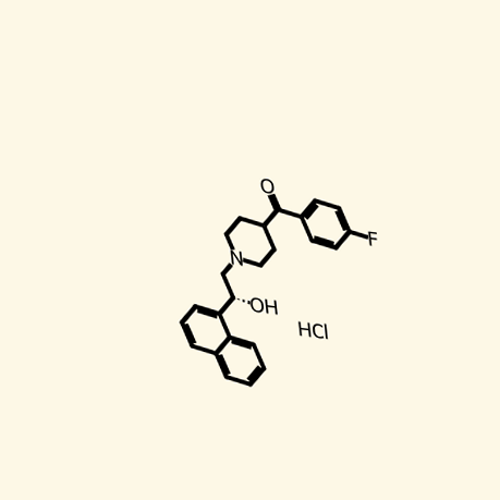 Cl.O=C(c1ccc(F)cc1)C1CCN(C[C@H](O)c2cccc3ccccc23)CC1